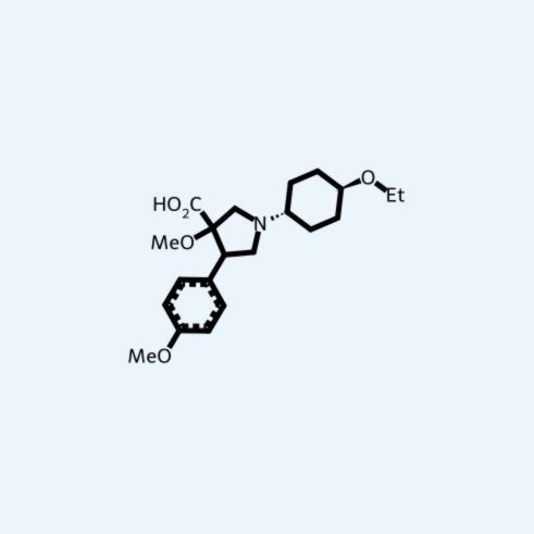 CCO[C@H]1CC[C@H](N2CC(c3ccc(OC)cc3)C(OC)(C(=O)O)C2)CC1